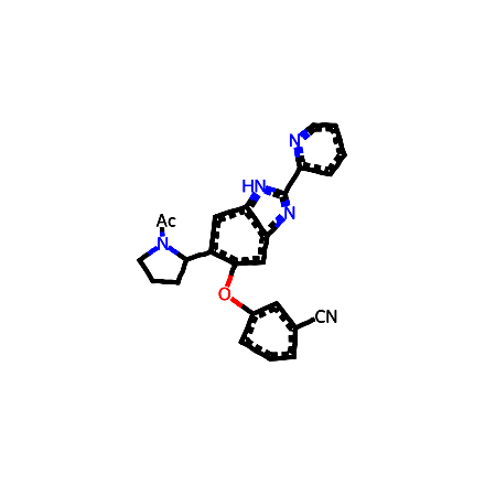 CC(=O)N1CCCC1c1cc2[nH]c(-c3ccccn3)nc2cc1Oc1cccc(C#N)c1